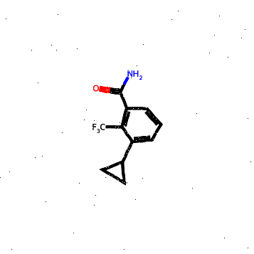 NC(=O)c1cccc(C2[CH]C2)c1C(F)(F)F